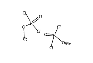 CCOP(=O)(Cl)Cl.COP(=O)(Cl)Cl